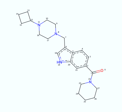 O=C(c1ccc2c(CN3CCN(C4CCC4)CC3)c[nH]c2c1)N1CCCCC1